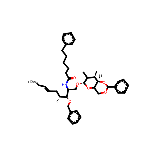 CCCCCCCCCCCC=CC[C@@H](C)[C@@H](OCc1ccccc1)[C@H](CO[C@H]1OC2COC(c3ccccc3)O[C@@H]2[C@H](C)C1C)NC(=O)CCCCCc1ccccc1